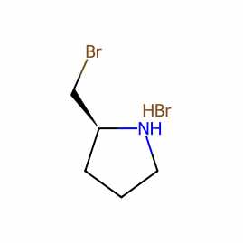 Br.BrC[C@@H]1CCCN1